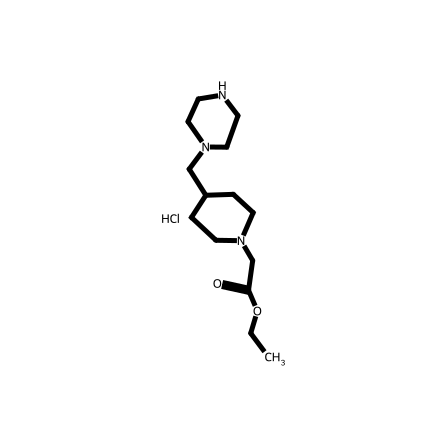 CCOC(=O)CN1CCC(CN2CCNCC2)CC1.Cl